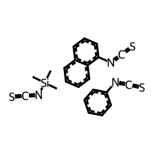 C[Si](C)(C)N=C=S.S=C=Nc1cccc2ccccc12.S=C=Nc1ccccc1